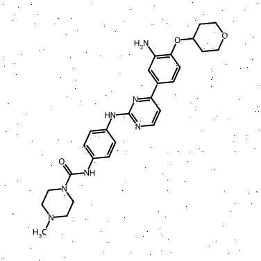 CN1CCN(C(=O)Nc2ccc(Nc3nccc(-c4ccc(OC5CCOCC5)c(N)c4)n3)cc2)CC1